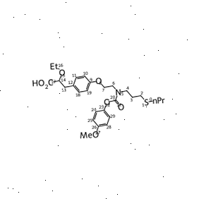 CCCSCCCN(CCOc1ccc(CC(OCC)C(=O)O)cc1)C(=O)Oc1ccc(OC)cc1